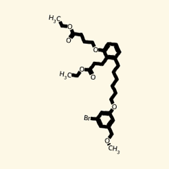 CCOC(=O)CCCOc1cccc(CCCCCCOc2cc(Br)cc(COC)c2)c1CCC(=O)OCC